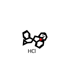 Cl.c1ccc(C(CC2CC2)(CC2CC3CCN2CC3)c2ccccc2)cc1